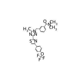 Cc1nc(-c2nc(-c3ccc(OC(F)(F)F)cc3)cs2)nn1Cc1cccc(C(=O)N(C)C)c1